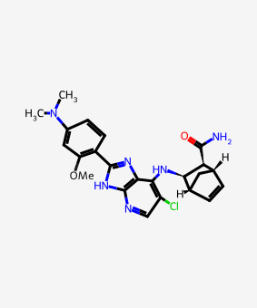 COc1cc(N(C)C)ccc1-c1nc2c(N[C@H]3[C@@H](C(N)=O)[C@@H]4C=C[C@H]3C4)c(Cl)cnc2[nH]1